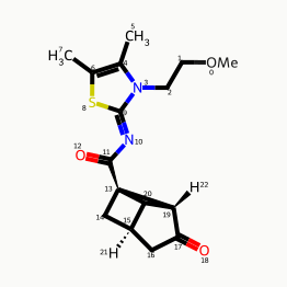 COCCn1c(C)c(C)s/c1=N\C(=O)[C@@]12C[C@@H]3CC(=O)[C@@H]1C32